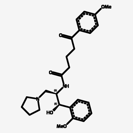 COc1ccc(C(=O)CCCC(=O)N[C@H](CN2CCCC2)[C@H](O)c2ccccc2OC)cc1